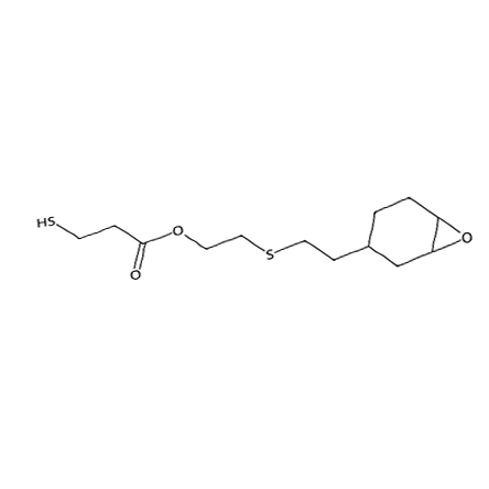 O=C(CCS)OCCSCCC1CCC2OC2C1